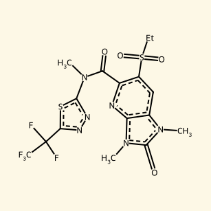 CCS(=O)(=O)c1cc2c(nc1C(=O)N(C)c1nnc(C(F)(F)C(F)(F)F)s1)n(C)c(=O)n2C